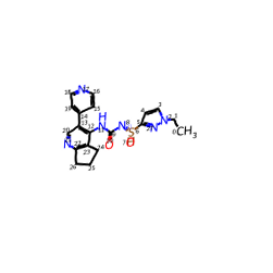 CCn1ccc(/[SH](=O)=N/C(=O)Nc2c(-c3ccncc3)cnc3c2CCC3)n1